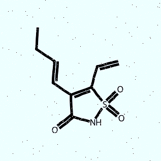 C=CC1=C(C=CCC)C(=O)NS1(=O)=O